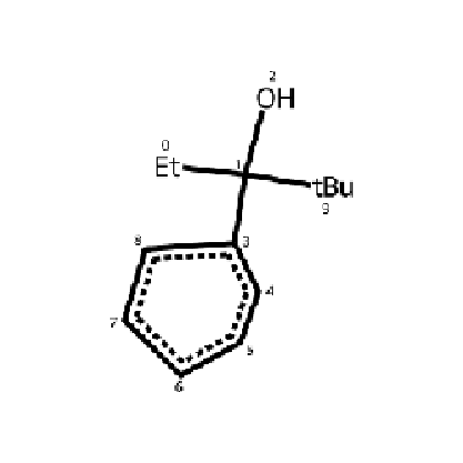 CCC(O)(c1ccccc1)C(C)(C)C